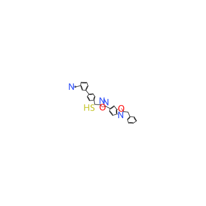 N#Cc1cccc(-c2ccc(C(S)c3nnc(-c4ccc5nc(Cc6ccccc6)oc5c4)o3)cc2)c1